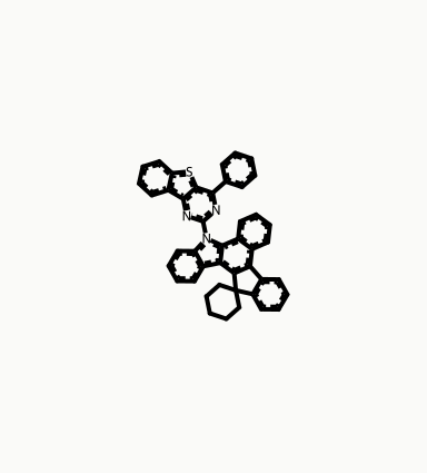 c1ccc(-c2nc(-n3c4ccccc4c4c5c(c6ccccc6c43)-c3ccccc3C53CCCCC3)nc3c2sc2ccccc23)cc1